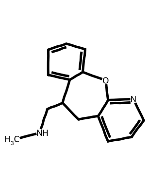 CNCC1Cc2cccnc2Oc2ccccc21